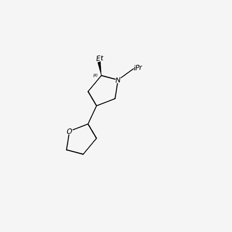 CC[C@@H]1CC(C2CCCO2)CN1C(C)C